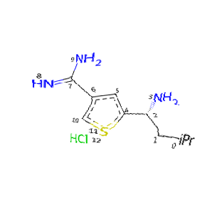 CC(C)C[C@@H](N)c1cc(C(=N)N)cs1.Cl